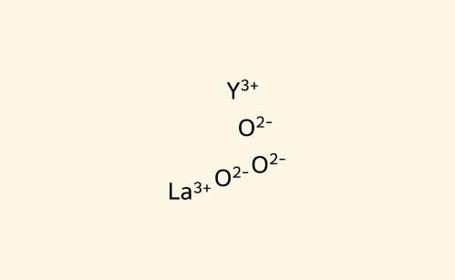 [La+3].[O-2].[O-2].[O-2].[Y+3]